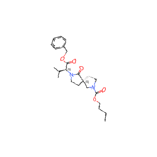 CCCCOC(=O)N1CC[C@@]2(CCN([C@H](C(=O)OCc3ccccc3)C(C)C)C2=O)C1